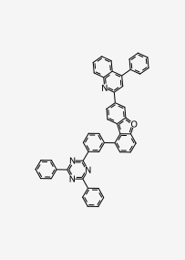 c1ccc(-c2nc(-c3ccccc3)nc(-c3cccc(-c4cccc5oc6cc(-c7cc(-c8ccccc8)c8ccccc8n7)ccc6c45)c3)n2)cc1